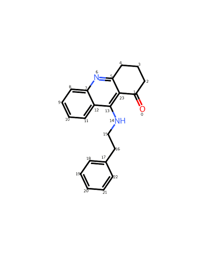 O=C1CCCc2nc3ccccc3c(NCCc3ccccc3)c21